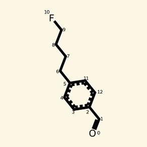 O=[C]c1ccc(CCCCF)cc1